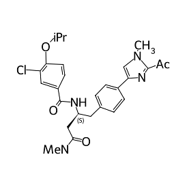 CNC(=O)C[C@H](Cc1ccc(-c2cn(C)c(C(C)=O)n2)cc1)NC(=O)c1ccc(OC(C)C)c(Cl)c1